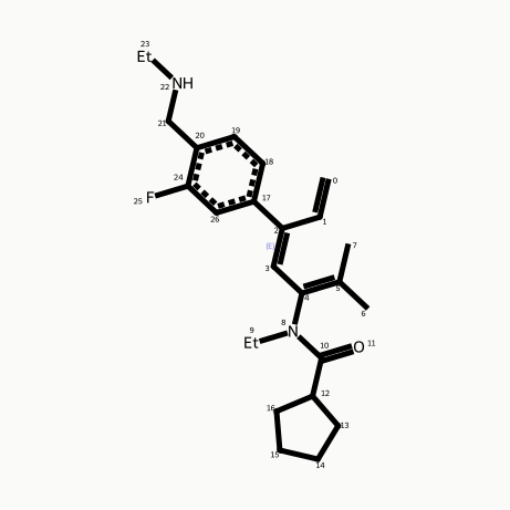 C=C/C(=C\C(=C(C)C)N(CC)C(=O)C1CCCC1)c1ccc(CNCC)c(F)c1